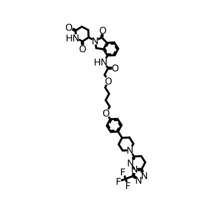 O=C1CCC(N2Cc3c(NC(=O)COCCCCOc4ccc(C5CCN(C6=Nn7c(nnc7C(F)(F)F)CC6)CC5)cc4)cccc3C2=O)C(=O)N1